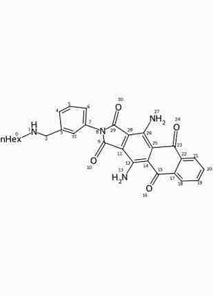 CCCCCCNCc1cccc(-n2c(=O)c3c(N)c4c(=O)c5ccccc5c(=O)c4c(N)c3c2=O)c1